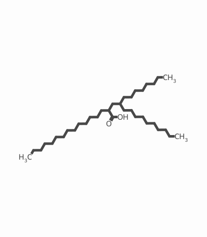 CCCCCCCCCCCCCCC(CC(CCCCCCCC)CCCCCCCCCC)C(=O)O